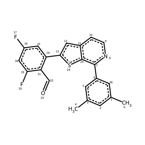 Cc1cc(C)cc(-c2nccc3cc(-c4cc(F)cc(F)c4C=O)sc23)c1